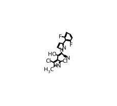 Cn1nc(Cl)c(/C(O)=C(\C#N)n2ccc(-c3c(F)cccc3F)n2)c1Cl